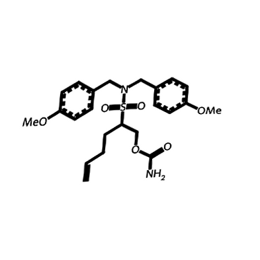 C=CCCC(COC(N)=O)S(=O)(=O)N(Cc1ccc(OC)cc1)Cc1ccc(OC)cc1